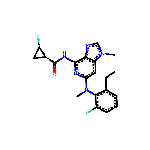 CCc1cccc(F)c1N(C)c1cc2c(ncn2C)c(NC(=O)[C@H]2C[C@H]2F)n1